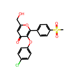 CS(=O)(=O)c1ccc(-c2oc(CO)cc(=O)c2Oc2ccc(Cl)cc2)cc1